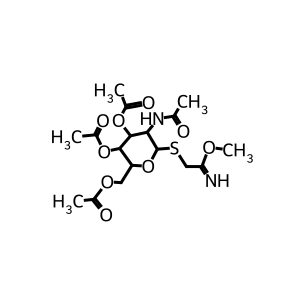 COC(=N)CSC1OC(COC(C)=O)C(OC(C)=O)C(OC(C)=O)C1NC(C)=O